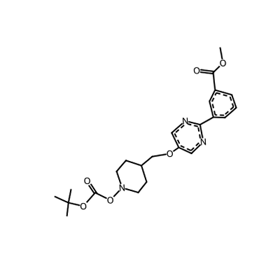 COC(=O)c1cccc(-c2ncc(OCC3CCN(OC(=O)OC(C)(C)C)CC3)cn2)c1